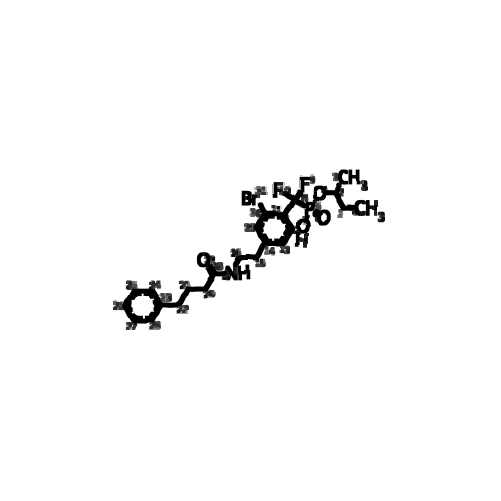 CCC(C)OP(=O)(O)C(F)(F)c1ccc(CCNC(=O)CCCc2ccccc2)cc1Br